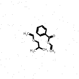 C=COC(=O)c1ccccc1.C=COCC(C)C